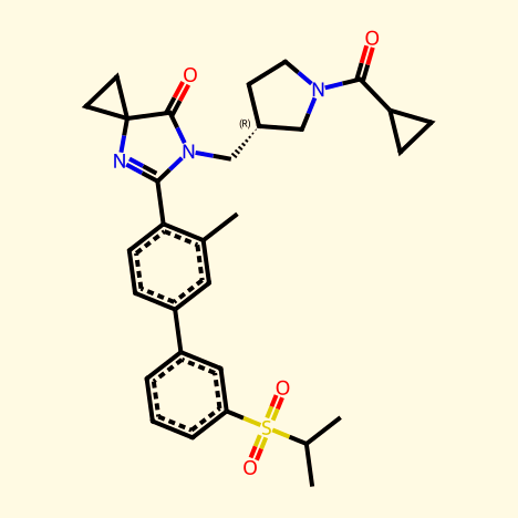 Cc1cc(-c2cccc(S(=O)(=O)C(C)C)c2)ccc1C1=NC2(CC2)C(=O)N1C[C@@H]1CCN(C(=O)C2CC2)C1